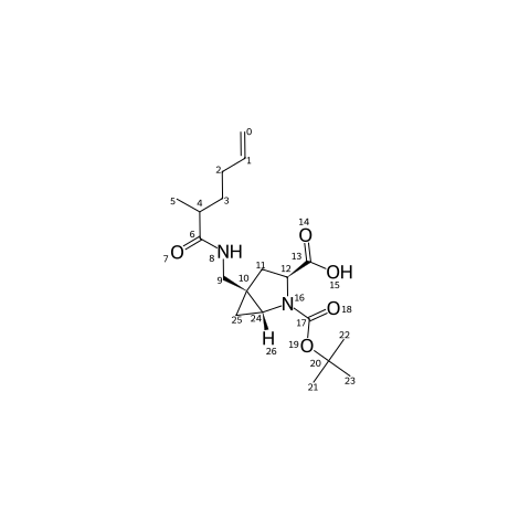 C=CCCC(C)C(=O)NC[C@@]12C[C@@H](C(=O)O)N(C(=O)OC(C)(C)C)[C@@H]1C2